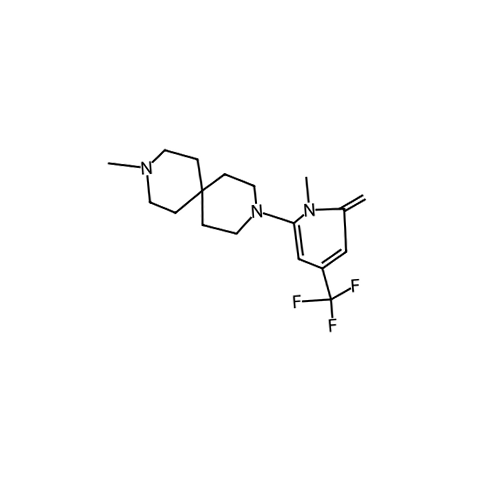 C=C1C=C(C(F)(F)F)C=C(N2CCC3(CCN(C)CC3)CC2)N1C